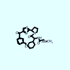 CCc1cccc(C(=O)c2csc(C3CCCN3C(=O)C(NC(=O)CNC)C3CCCCC3)n2)c1